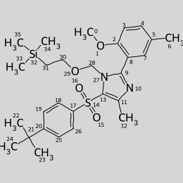 COc1ccc(C)cc1-c1nc(C)c(S(=O)(=O)c2ccc(C(C)(C)C)cc2)n1COCC[Si](C)(C)C